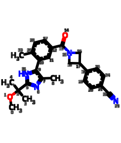 COC(C)(C)c1nc(C)c(-c2cc(C(=O)N3CC(c4ccc(C#N)cc4)C3)ccc2C)[nH]1